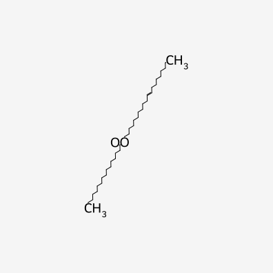 CCCCCCCC/C=C/CCCCCCCCCCOC(=O)CCCCCCCCCCCCCCC